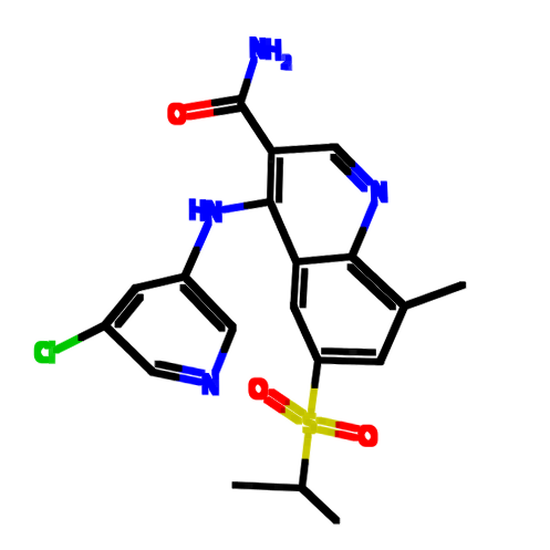 Cc1cc(S(=O)(=O)C(C)C)cc2c(Nc3cncc(Cl)c3)c(C(N)=O)cnc12